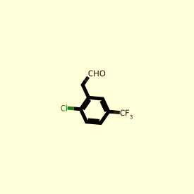 O=CCc1cc(C(F)(F)F)ccc1Cl